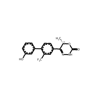 C[C@@H]1OC(=O)NN=C1c1ccc(-c2cccc(O)c2)c(C(F)(F)F)c1